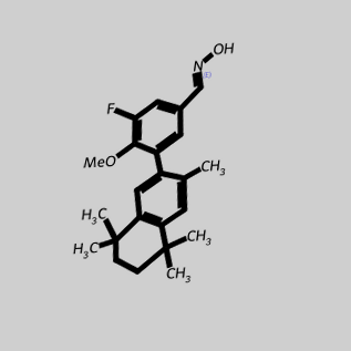 COc1c(F)cc(/C=N/O)cc1-c1cc2c(cc1C)C(C)(C)CCC2(C)C